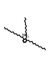 CCCCCCCCCCCCc1cccc(C(N)CCCCCCCCCCCC)c1CCCCCCCCCCCC